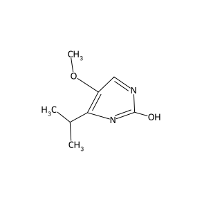 COc1cnc(O)nc1C(C)C